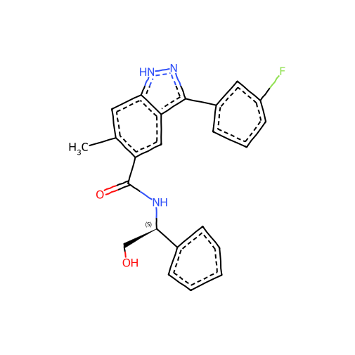 Cc1cc2[nH]nc(-c3cccc(F)c3)c2cc1C(=O)N[C@H](CO)c1ccccc1